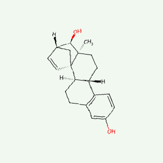 C[C@]12CC[C@@H]3c4ccc(O)cc4CC[C@H]3[C@]13C=C[C@@H](C3)[C@H]2O